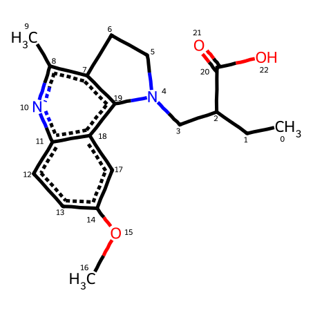 CCC(CN1CCc2c(C)nc3ccc(OC)cc3c21)C(=O)O